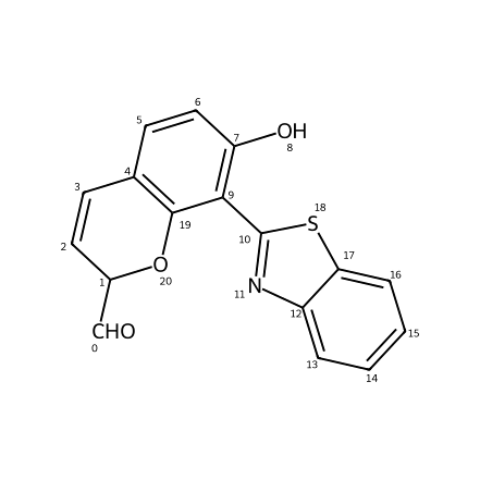 O=CC1C=Cc2ccc(O)c(-c3nc4ccccc4s3)c2O1